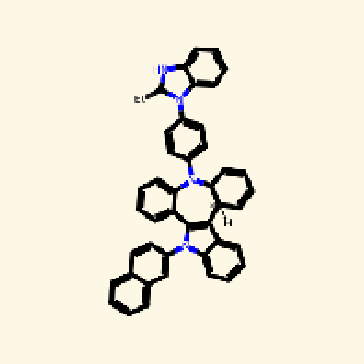 CCC1Nc2ccccc2N1c1ccc(N2c3ccccc3-c3c(c4ccccc4n3-c3ccc4ccccc4c3)[C@@H]3C=CC=CC32)cc1